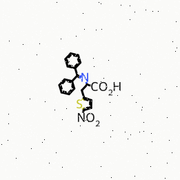 O=C(O)C(Cc1ccc([N+](=O)[O-])s1)N=C(c1ccccc1)c1ccccc1